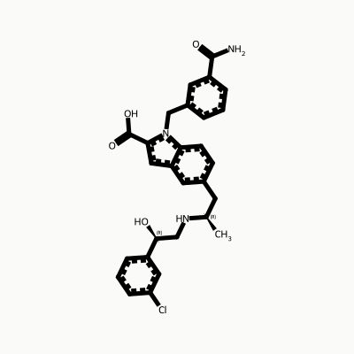 C[C@H](Cc1ccc2c(c1)cc(C(=O)O)n2Cc1cccc(C(N)=O)c1)NC[C@H](O)c1cccc(Cl)c1